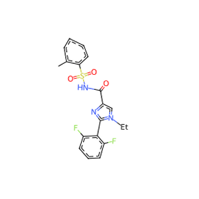 CCn1cc(C(=O)NS(=O)(=O)c2ccccc2C)nc1-c1c(F)cccc1F